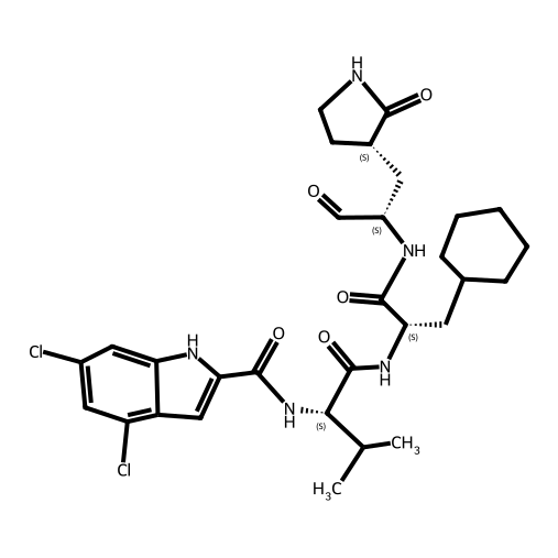 CC(C)[C@H](NC(=O)c1cc2c(Cl)cc(Cl)cc2[nH]1)C(=O)N[C@@H](CC1CCCCC1)C(=O)N[C@H](C=O)C[C@@H]1CCNC1=O